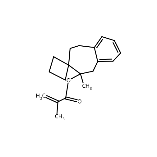 C=C(C)C(=O)OC1(C)Cc2ccccc2CCC12CCC2